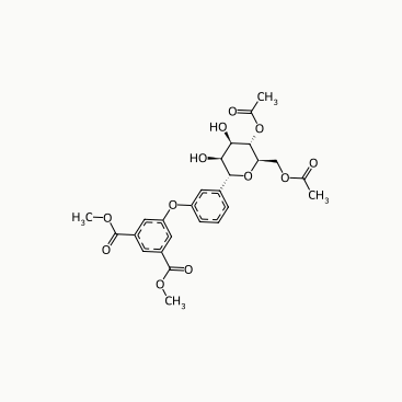 COC(=O)c1cc(Oc2cccc([C@H]3O[C@H](COC(C)=O)[C@@H](OC(C)=O)[C@H](O)[C@@H]3O)c2)cc(C(=O)OC)c1